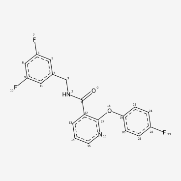 O=C(NCc1cc(F)cc(F)c1)c1cccnc1Oc1ccc(F)cc1